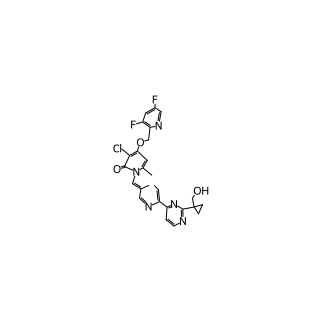 C\C=C(/N=C\C(C)=C\n1c(C)cc(OCc2ncc(F)cc2F)c(Cl)c1=O)c1ccnc(C2(CO)CC2)n1